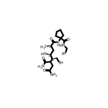 CC(C)CNC(=O)C1(NC(=O)[C@H](C)C[C@H](O)[C@@H](CC(C)C)C(CC(N)=O)C(N)=O)CCCC1